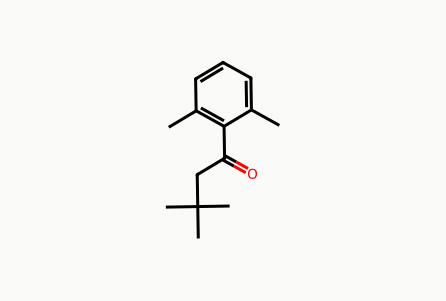 Cc1cccc(C)c1C(=O)CC(C)(C)C